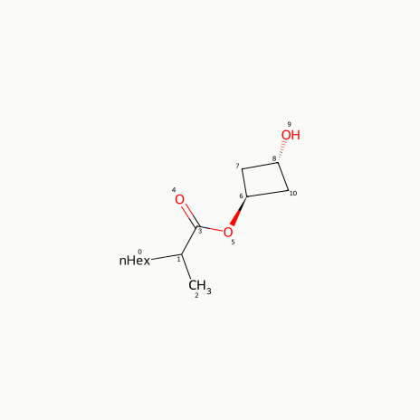 CCCCCCC(C)C(=O)O[C@H]1C[C@H](O)C1